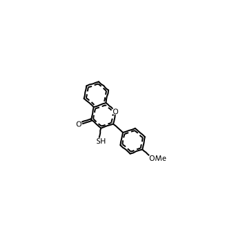 COc1ccc(-c2oc3ccccc3c(=O)c2S)cc1